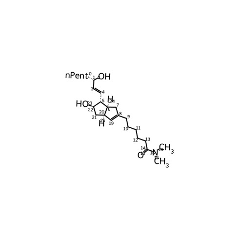 CCCCC[C@H](O)/C=C/[C@@H]1[C@H]2CC(CCCCCC(=O)N(C)C)=C[C@H]2C[C@H]1O